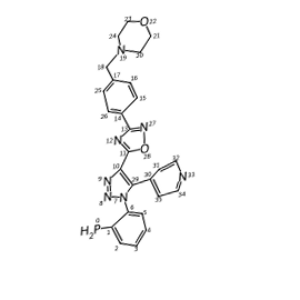 Pc1ccccc1-n1nnc(-c2nc(-c3ccc(CN4CCOCC4)cc3)no2)c1-c1ccncc1